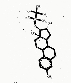 Cc1ccc2c(c1)CCC1C2CC[C@@]2(C)C1C[C@@H](O)[C@@H]2O[Si](C)(C)C(C)(C)C